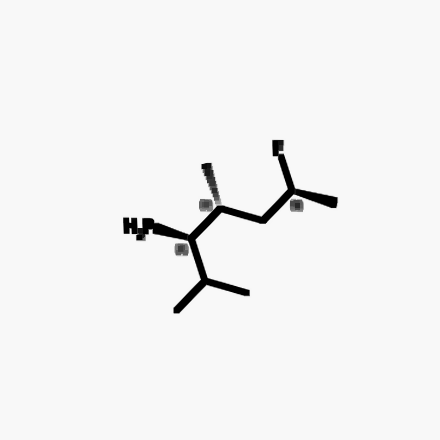 CC(C)[C@@H](P)[C@H](C)C[C@H](C)F